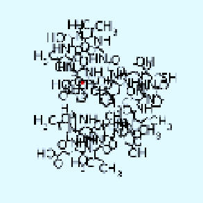 CC[C@H](C)[C@H](NC(=O)[C@H](CCC(=O)O)NC(=O)[C@H](CC(C)C)NC(=O)[C@@H](N)[C@@H](C)O)C(=O)N[C@@H](CC(C)C)C(=O)N[C@@H](CC(=O)O)C(=O)N[C@H](C(=O)N[C@H](C(=O)N1CCC[C@H]1C(=O)N[C@@H](CS)C(=O)N[C@@H](CO)C(=O)N[C@@H](Cc1ccccc1)C(=O)NCC(=O)NCC(=O)N[C@H](C(=O)N[C@@H](CO)C(=O)N[C@H](C(=O)N[C@H](C(=O)N[C@H](C(=O)N1CCC[C@H]1C(=O)O)[C@@H](C)O)[C@@H](C)CC)C(C)C)C(C)C)[C@@H](C)O)[C@@H](C)CC